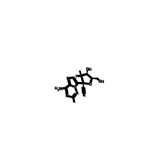 Cc1nc(N)c2ncc([C@]3(C#N)O[C@H](CO)[C@@H](O)[C@@]3(C)F)n2n1